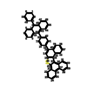 c1ccc(-c2c3ccccc3c(-c3ccc(-c4cc5sc6c7ccccc7c7ccccc7c6c5c5ccccc45)cc3)c3ccccc23)cc1